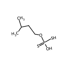 CC(C)CCOP(O)(=S)S